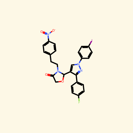 O=C1COC(c2cn(-c3ccc(I)cc3)nc2-c2ccc(F)cc2)N1CCc1ccc([N+](=O)[O-])cc1